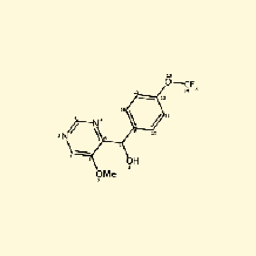 COc1cncnc1C(O)c1ccc(OC(F)(F)F)cc1